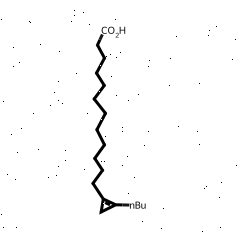 CCCCC1=C(CCCCCCCCCCCC(=O)O)C1